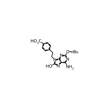 CCCCOc1nc(N)c2nc(O)n(CCc3ccc(C(=O)O)cc3)c2n1